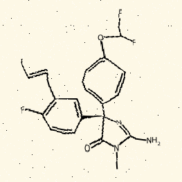 C/C=C/c1cc([C@@]2(c3ccc(OC(F)F)cc3)N=C(N)N(C)C2=O)ccc1F